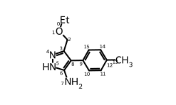 CCOCc1n[nH]c(N)c1-c1ccc(C)cc1